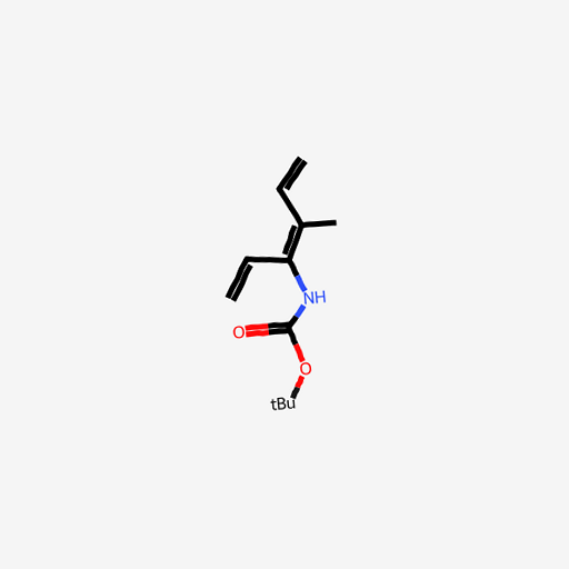 C=C/C(C)=C(\C=C)NC(=O)OC(C)(C)C